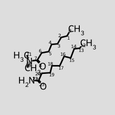 CCCCCCCC(=O)N(C)C.CCCCCCCCCC(N)=O